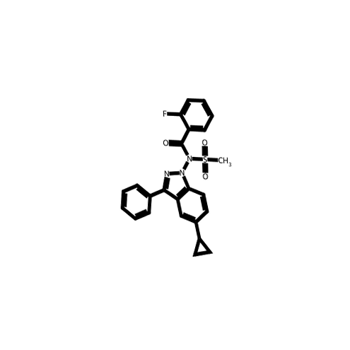 CS(=O)(=O)N(C(=O)c1ccccc1F)n1nc(-c2ccccc2)c2cc(C3CC3)ccc21